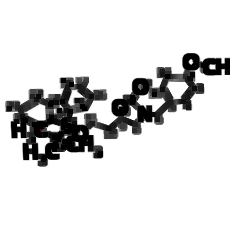 COc1ccc(CN2CC(CCO[Si](c3ccccc3)(c3ccccc3)C(C)(C)C)OC2=O)cc1